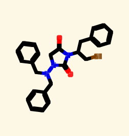 O=C1CN(N(Cc2ccccc2)Cc2ccccc2)C(=O)N1C(CS)Cc1ccccc1